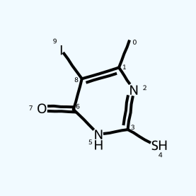 Cc1nc(S)[nH]c(=O)c1I